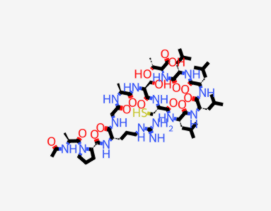 CC(=O)N[C@@H](C)C(=O)N1CCC[C@H]1C(=O)N[C@@H](CCCNC(=N)N)C(=O)NCC(=O)N[C@@H](C)C(=O)N[C@@H](CO)C(=O)N[C@@H](CS)C(=O)N[C@@H](CC(C)C)C(=O)N[C@@H](CC(C)C)C(=O)N[C@@H](CC(C)C)C(=O)N[C@@H](CC(C)C)C(=O)N[C@H](C(=O)O)[C@@H](C)O